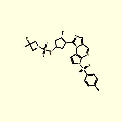 Cc1ccc(S(=O)(=O)n2ccc3c2ncc2cnc([C@H]4C[C@@H](NS(=O)(=O)N5CC(F)(F)C5)C[C@H]4C)n23)cc1